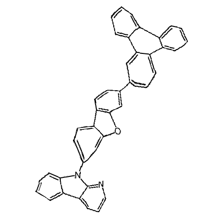 c1ccc2c(c1)c1ccccc1c1cc(-c3ccc4c(c3)oc3cc(-n5c6ccccc6c6cccnc65)ccc34)ccc21